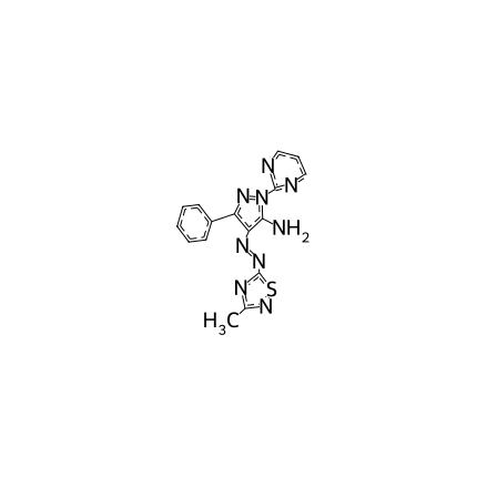 Cc1nsc(/N=N/c2c(-c3ccccc3)nn(-c3ncccn3)c2N)n1